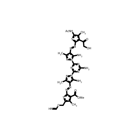 COC(=O)c1c(/N=N/c2c(C)nn(-c3nc(N)nc(-n4nc(C)c(/N=N/c5sc(NC(C)=O)c(C)c5C(=O)CO)c4N)n3)c2N)sc(COC=N)c1C